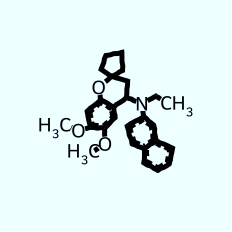 CCN(c1ccc2ccccc2c1)C1CC2(CCCC2)Oc2cc(OC)c(OC)cc21